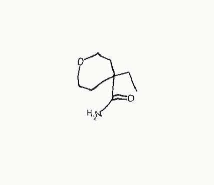 CCC1(C(N)=O)CCOCC1